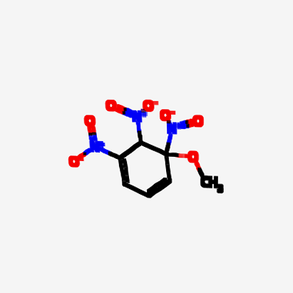 COC1([N+](=O)[O-])C=CC=C([N+](=O)[O-])C1[N+](=O)[O-]